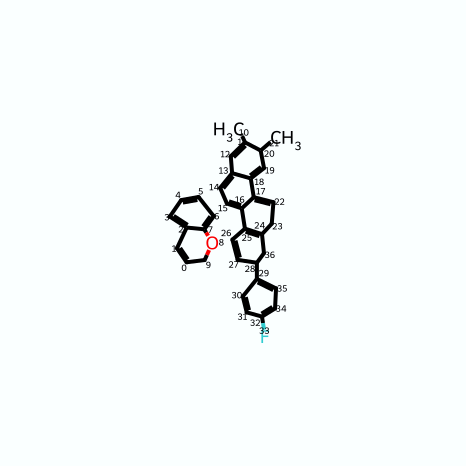 C1=Cc2ccccc2OC1.CC1=Cc2ccc3c(c2=CC1C)=CCC1=C3C=CC(c2ccc(F)cc2)C1